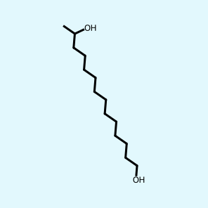 CC(O)CCCCCCCCCCCCO